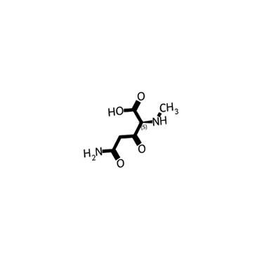 CN[C@H](C(=O)O)C(=O)CC(N)=O